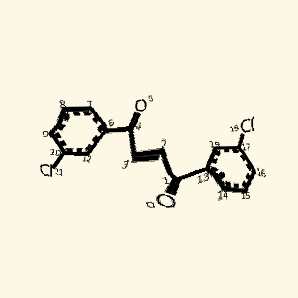 O=C(/C=C/C(=O)c1cccc(Cl)c1)c1cccc(Cl)c1